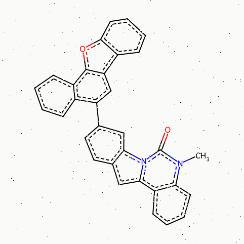 Cn1c(=O)n2c3cc(-c4cc5c6ccccc6oc5c5ccccc45)ccc3cc2c2ccccc21